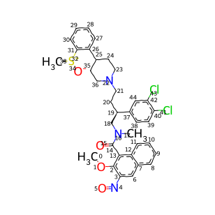 COc1c(N=O)cc2ccccc2c1C(=O)N(C)C[C@@H](CCN1CCC(c2ccccc2[S@+](C)[O-])CC1)c1ccc(Cl)c(Cl)c1